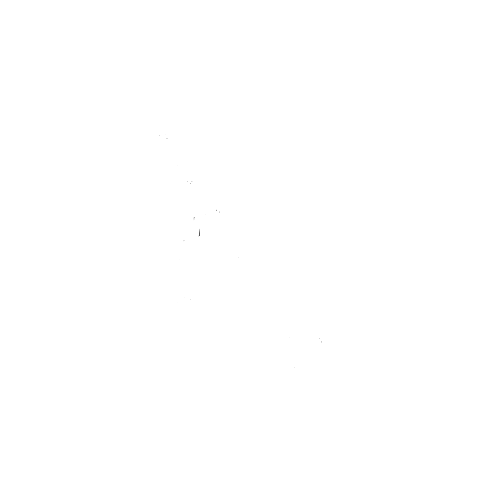 COc1ccccc1COCCCOc1ccc(N2CCN(C(=O)OC(C)(C)C)C[C@@H]2COc2ccc3cc(C)ccc3c2)cc1